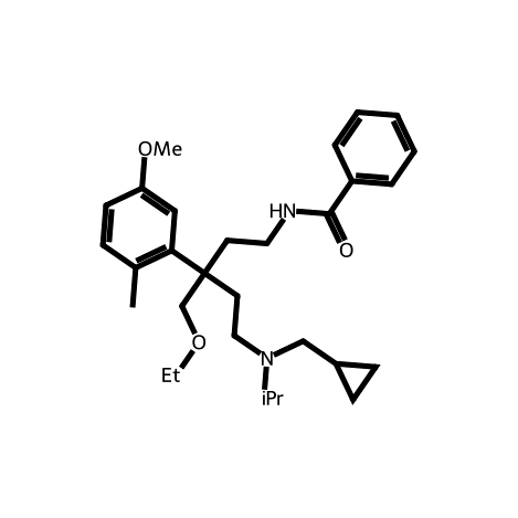 CCOCC(CCNC(=O)c1ccccc1)(CCN(CC1CC1)C(C)C)c1cc(OC)ccc1C